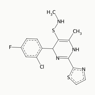 CNSC1=C(C)NC(c2nccs2)=NC1c1ccc(F)cc1Cl